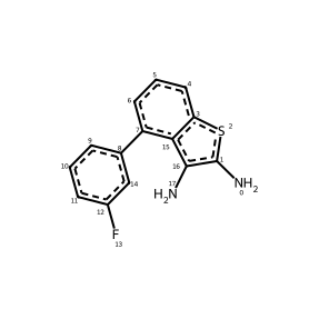 Nc1sc2cccc(-c3cccc(F)c3)c2c1N